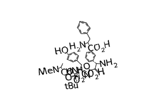 C=C(C(N)=O)C(N)c1ccccc1.CC(C)(C)OC(=O)NC(Cc1ccc(O)cc1)C(=O)O.CNC(C)C(=O)O.NC(Cc1ccccc1)C(=O)O